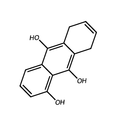 Oc1c2c(c(O)c3c(O)cccc13)CC=CC2